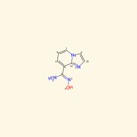 NC(=NO)c1cccn2ccnc12